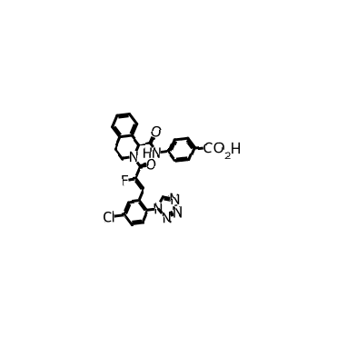 O=C(O)c1ccc(NC(=O)[C@@H]2c3ccccc3CCN2C(=O)C(F)=Cc2cc(Cl)ccc2-n2cnnn2)cc1